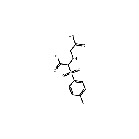 Cc1ccc(S(=O)(=O)C(NCC(=O)O)C(=O)O)cc1